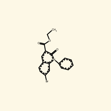 CCOC(=O)c1cc2ccc(Br)cc2n(-c2ccccc2)c1=O